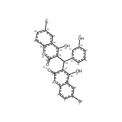 O=c1oc2ccc(Br)cc2c(O)c1C(c1cccc(O)c1)c1c(O)c2cc(Br)ccc2oc1=O